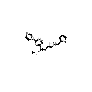 CN(CCCNCc1cccs1)c1nc(-n2ccnc2)ns1